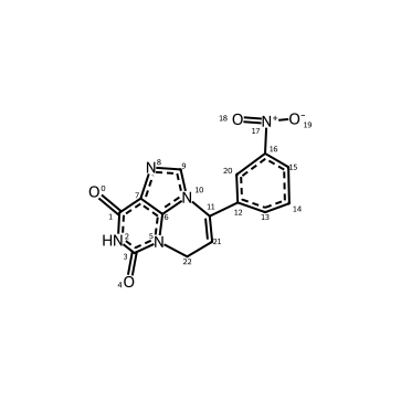 O=c1[nH]c(=O)n2c3c1ncn3C(c1cccc([N+](=O)[O-])c1)=CC2